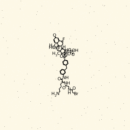 CC12C[C@H](O)[C@@]3(F)C(C[C@H](F)C4=CC(=O)C=CC43C)[C@@H]1C[C@H]1O[C@@H](c3ccc(Cc4cccc(NC(=O)[C@H](CCCCN)NC(=O)CNC(=O)CBr)c4)cc3)O[C@]12C(=O)COP(=O)(O)O